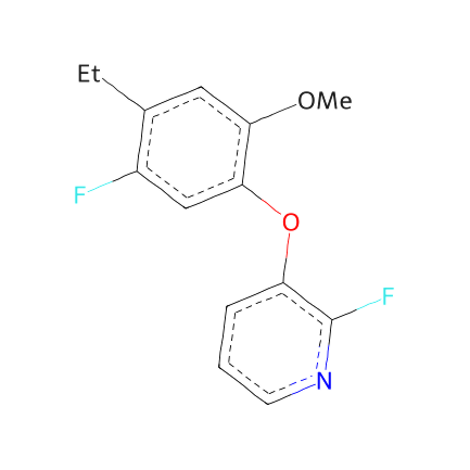 CCc1cc(OC)c(Oc2cccnc2F)cc1F